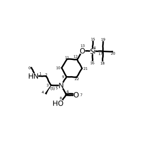 CNC[C@H](C)N(C(=O)O)C1CCC(O[Si](C)(C)C(C)(C)C)CC1